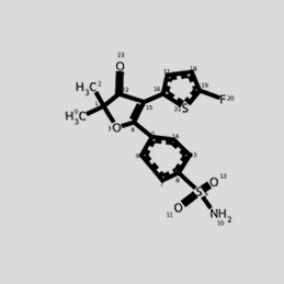 CC1(C)OC(c2ccc(S(N)(=O)=O)cc2)=C(c2ccc(F)s2)C1=O